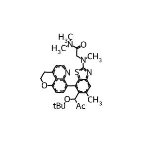 CC(=O)[C@@H](OC(C)(C)C)c1c(C)cc2nc(N(C)CC(=O)N(C)C)sc2c1-c1ccc2c3c(ccnc13)CCO2